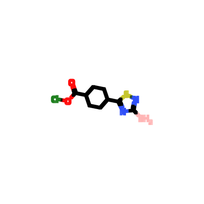 Bc1nsc(C2CCC(C(=O)OCl)CC2)n1